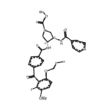 CCOCOc1ccc(OC)c(F)c1C(=O)c1ccc(C(=O)N[C@@H]2CN(C(=O)OC(C)(C)C)C[C@H]2NC(=O)c2ccncc2)cc1